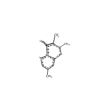 Cc1cnn2c(=O)c(C)c(C)nc2c1